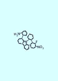 Nc1ccccc1-c1cccc2c3ccccc3n(-c3ccccc3-c3cccc([N+](=O)[O-])c3F)c12